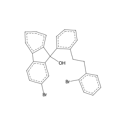 OC1(c2ccccc2CCc2ccccc2Br)c2ccccc2-c2ccc(Br)cc21